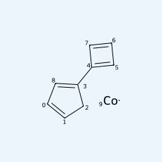 C1=CCC(C2=CC=C2)=C1.[Co]